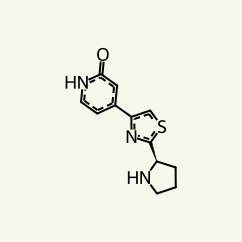 O=c1cc(-c2csc([C@H]3CCCN3)n2)cc[nH]1